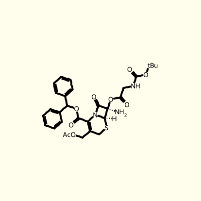 CC(=O)OCC1=C(C(=O)OC(c2ccccc2)c2ccccc2)N2C(=O)[C@@](N)(OC(=O)CNC(=O)OC(C)(C)C)[C@H]2SC1